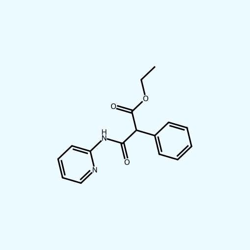 CCOC(=O)C(C(=O)Nc1ccccn1)c1ccccc1